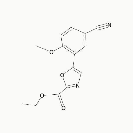 CCOC(=O)c1ncc(-c2cc(C#N)ccc2OC)o1